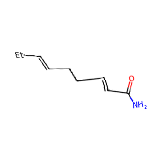 CC/C=C/CC/C=C/C(N)=O